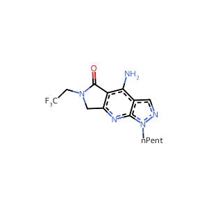 CCCCCn1ncc2c(N)c3c(nc21)CN(CC(F)(F)F)C3=O